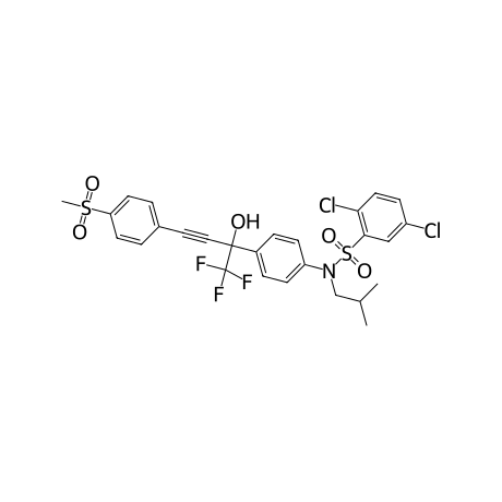 CC(C)CN(c1ccc(C(O)(C#Cc2ccc(S(C)(=O)=O)cc2)C(F)(F)F)cc1)S(=O)(=O)c1cc(Cl)ccc1Cl